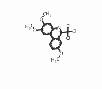 COc1ccc2c(c1)c(C(Cl)(Cl)Cl)nc1cc(OC)c(OC)cc12